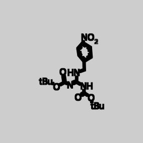 CC(C)(C)OC(=O)/N=C(\NCc1ccc([N+](=O)[O-])cc1)NC(=O)OC(C)(C)C